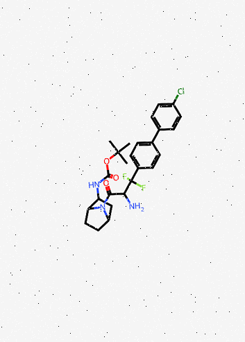 CC(C)(C)OC(=O)NC1CC2CCC1N2C(=O)C(N)C(F)(F)c1ccc(-c2ccc(Cl)cc2)cc1